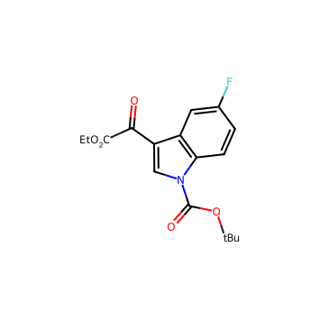 CCOC(=O)C(=O)c1cn(C(=O)OC(C)(C)C)c2ccc(F)cc12